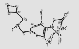 CN(Cc1cc(O)c(N2CC(=O)NS2(=O)=O)c(F)c1)CC1CCC1